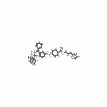 O=C(N[C@@H](c1ccccc1)c1cccc(OC[C@H]2CC[C@H](C(=O)OCCCC3OCCO3)CC2)c1)O[C@H]1CN2CCC1CC2